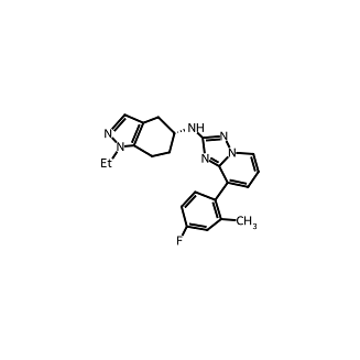 CCn1ncc2c1CC[C@@H](Nc1nc3c(-c4ccc(F)cc4C)cccn3n1)C2